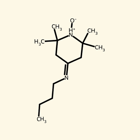 CCCCN=C1CC(C)(C)[NH+]([O-])C(C)(C)C1